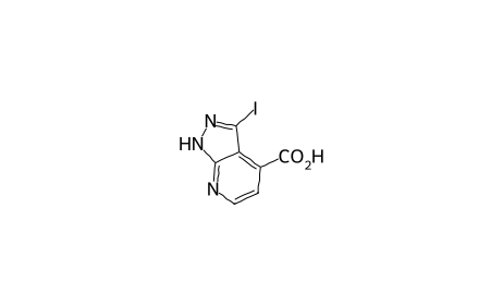 O=C(O)c1ccnc2[nH]nc(I)c12